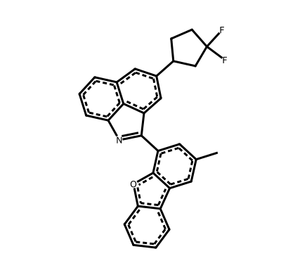 Cc1cc(C2=Nc3cccc4cc(C5CCC(F)(F)C5)cc2c34)c2oc3ccccc3c2c1